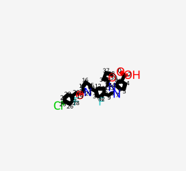 O=C(O)c1ccc2nc(Cc3ccc(-c4cccc(OCc5ccc(Cl)cc5F)n4)cc3F)n(Cc3ccco3)c2c1